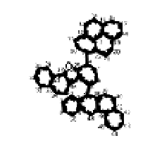 c1ccc2c(-c3ccc(-c4ccc5ccc6cccc7ccc4c5c67)c4oc5c6ccccc6ccc5c34)c3ccc4ccccc4c3cc2c1